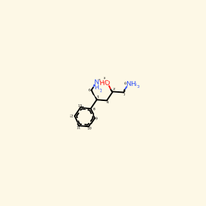 NCC(O)CC(CN)c1ccccc1